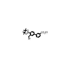 CCOC(=O)c1cccc(-c2ccc(B3OC(C)(C)C(C)(C)O3)c(CBr)c2)c1